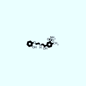 Cc1ccc(C(O)CNCCOc2ccccc2O)cc1S(N)(=O)=O